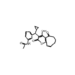 [CH2]C(=O)Nc1cccc(C(c2c(O)c3c(oc2=O)CCCCCC3=O)C2CC2)c1